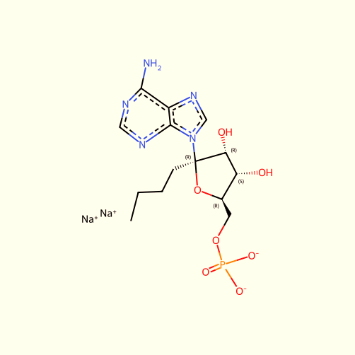 CCCC[C@@]1(n2cnc3c(N)ncnc32)O[C@H](COP(=O)([O-])[O-])[C@@H](O)[C@H]1O.[Na+].[Na+]